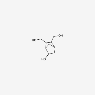 OCC1C2CC(O)C(C2)C1CO